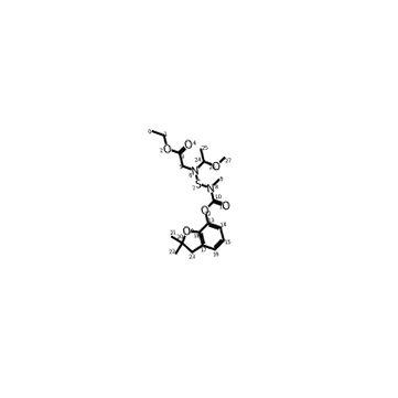 CCOC(=O)CN(SN(C)C(=O)Oc1cccc2c1OC(C)(C)C2)C(C)OC